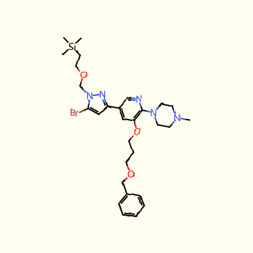 CN1CCN(c2ncc(-c3cc(Br)n(COCC[Si](C)(C)C)n3)cc2OCCCOCc2ccccc2)CC1